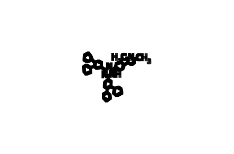 Cc1ccc(-c2ccc(C3=NC(c4ccc(-c5ccccc5)c(-c5ccccc5)c4)=NC(c4ccc(-c5ccccc5)c(-c5ccccc5)c4)N3)cc2)c(C)n1